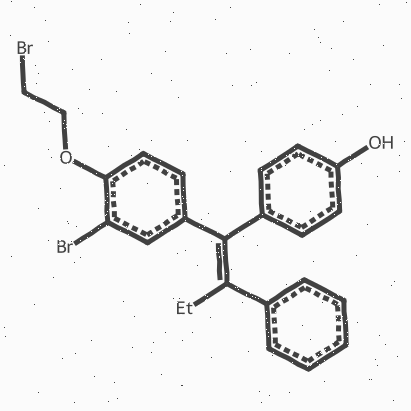 CC/C(=C(/c1ccc(O)cc1)c1ccc(OCCBr)c(Br)c1)c1ccccc1